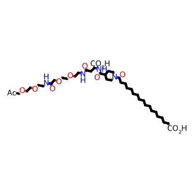 CC(=O)COCCOCCNC(=O)COCCOCCNC(=O)C[C@@H](NC(=O)C1CCN(C(=O)CCCCCCCCCCCCCCCCC(=O)O)CC1)C(=O)O